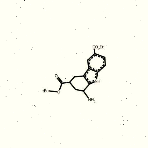 CCOC(=O)c1ccc2[nH]c3c(c2c1)CC(C(=O)OC(C)(C)C)CC3N